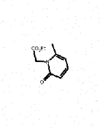 CCOC(=O)Cn1c(C)cccc1=O